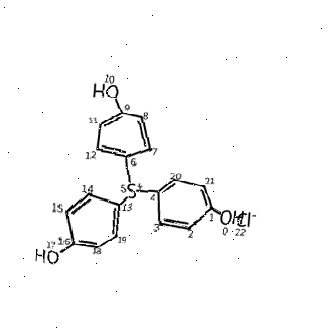 Oc1ccc([S+](c2ccc(O)cc2)c2ccc(O)cc2)cc1.[Cl-]